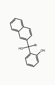 Oc1ccccc1C(O)(Br)c1ccc2ccccc2c1